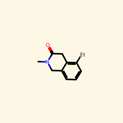 CCc1cccc2c1CC(=O)N(C)C2